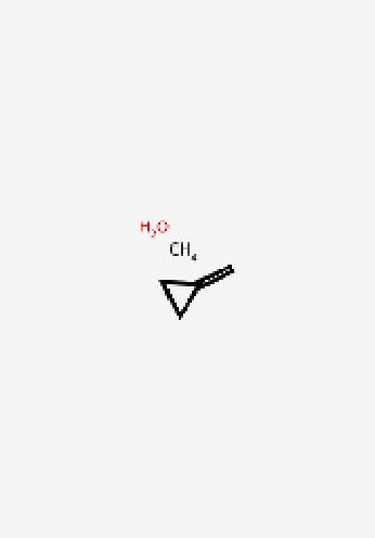 C.C=C1CC1.O